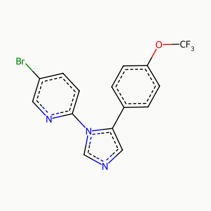 FC(F)(F)Oc1ccc(-c2cncn2-c2ccc(Br)cn2)cc1